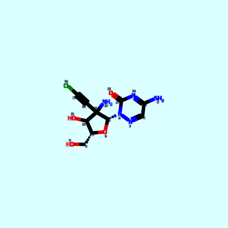 Nc1cnn([C@@H]2O[C@H](CO)C(O)C2(N)C#CCl)c(=O)n1